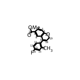 COC(=O)c1ccc2c(c1)C(c1ccc(F)cc1C)=CCO2